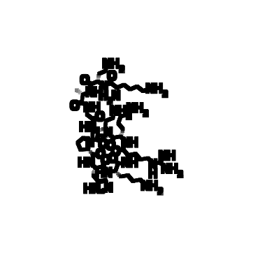 C[C@H](NC(=O)[C@H](CCN)NC(=O)[C@@H](N)CCCCN)C(=O)NCC(=O)N[C@H](CCCN)C(=O)N1CCC[C@H]1C(=O)N[C@@H](Cc1cnc[nH]1)C(=O)N[C@@H](CCCCN)C(=O)N/C(=C\CCNC(=N)N)C(=O)N[C@@H](CCCCN)C(N)=O